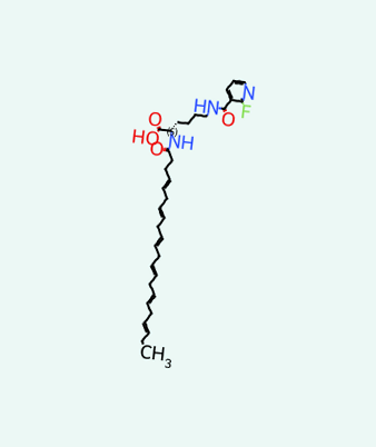 CCC=CCC=CCC=CCC=CCC=CCC=CCCC(=O)N[C@@H](CCCCNC(=O)c1cccnc1F)C(=O)O